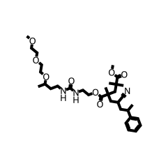 COCCOCCOC(C)CCNC(=O)NCCOC(=O)C(C)(CC(C#N)CC(C)c1ccccc1)CC(C)(C)C(=O)OC